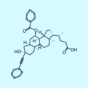 C[C@H](CCC(=O)O)[C@H]1CC[C@H]2[C@@H]3[C@H](OC(=O)c4ccccc4)C[C@@H]4C[C@](O)(C#Cc5ccccc5)CC[C@]4(C)[C@H]3CC[C@]12C